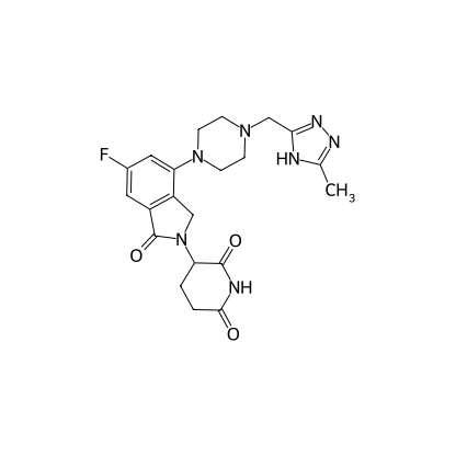 Cc1nnc(CN2CCN(c3cc(F)cc4c3CN(C3CCC(=O)NC3=O)C4=O)CC2)[nH]1